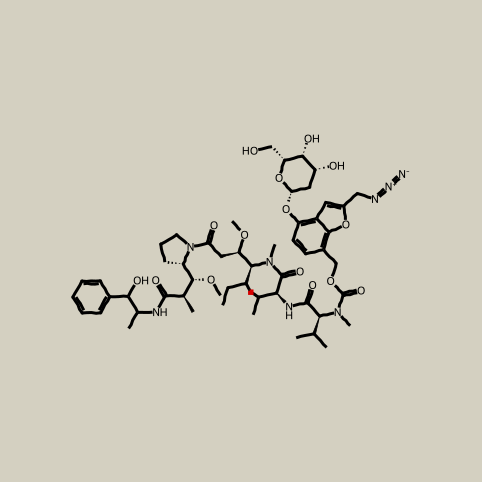 CCC(C)[C@@H]([C@@H](CC(=O)N1CCC[C@H]1[C@H](OC)[C@@H](C)C(=O)NC(C)C(O)c1ccccc1)OC)N(C)C(=O)[C@@H](NC(=O)[C@H](C(C)C)N(C)C(=O)OCc1ccc(O[C@H]2C[C@@H](O)[C@@H](O)[C@@H](CO)O2)c2cc(CN=[N+]=[N-])oc12)C(C)C